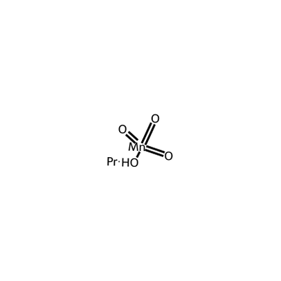 [O]=[Mn](=[O])(=[O])[OH].[Pr]